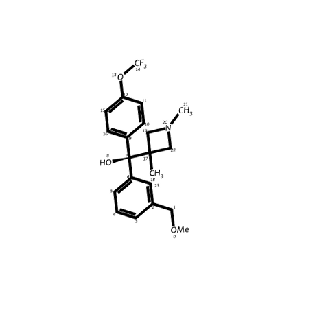 COCc1cccc([C@](O)(c2ccc(OC(F)(F)F)cc2)C2(C)CN(C)C2)c1